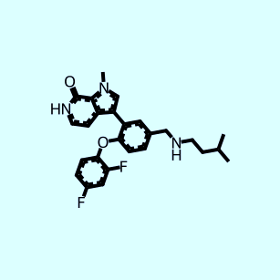 CC(C)CCNCc1ccc(Oc2ccc(F)cc2F)c(-c2cn(C)c3c(=O)[nH]ccc23)c1